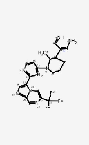 CC1C(/C(C=N)=C/N)CCCN1c1ccnc(-c2cnc3cnc(C(F)(F)F)cn23)n1